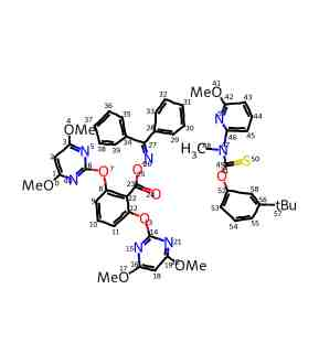 COc1cc(OC)nc(Oc2cccc(Oc3nc(OC)cc(OC)n3)c2C(=O)ON=C(c2ccccc2)c2ccccc2)n1.COc1cccc(N(C)C(=S)Oc2cccc(C(C)(C)C)c2)n1